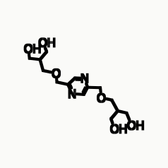 OCC(CO)COCc1cnc(COCC(CO)CO)cn1